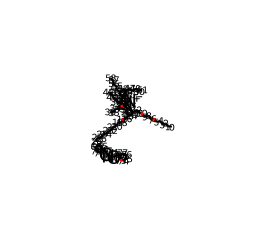 CCCCCCCCCCCC=Cc1cc(C=CCCCCCCCCCCC)cc(C2=C(CCCC)C(CCCCC)=C(c3cc(CCCCC)cc(CCCCC)c3)[N+]2=[N-])c1.c1ccc(C[O][Ni][O]Cc2ccccc2)cc1